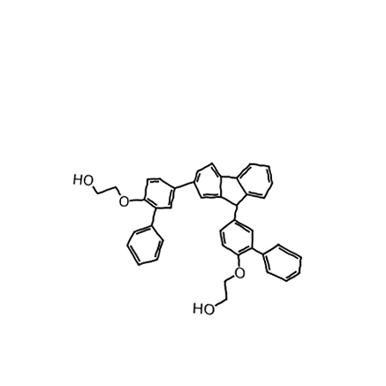 OCCOc1ccc(-c2ccc3c(c2)C(c2ccc(OCCO)c(-c4ccccc4)c2)c2ccccc2-3)cc1-c1ccccc1